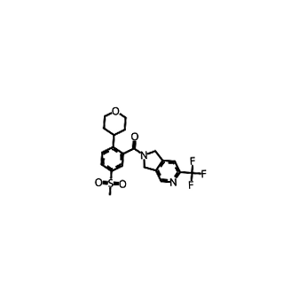 CS(=O)(=O)c1ccc(C2CCOCC2)c(C(=O)N2Cc3cnc(C(F)(F)F)cc3C2)c1